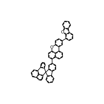 c1ccc2c(c1)-c1ccc(-c3ccc4c5c(cccc35)-c3cc(-c5cccc6c5oc5ccccc56)ccc3O4)cc1C21c2ccccc2-c2cccc3cccc1c23